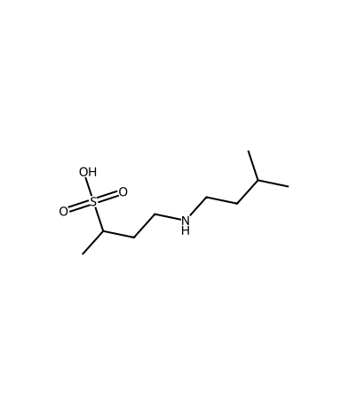 CC(C)CCNCCC(C)S(=O)(=O)O